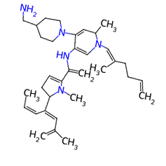 C=CCC/C(C)=C/N1C=C(NC(=C)C2=CCC(C(/C=C\C)=C/C(=C)C)N2C)C(N2CCC(CN)CC2)=CC1C